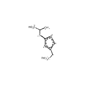 CC(Sc1nc(CC(=O)O)cs1)C(=O)O